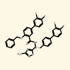 Cc1noc([C@@H](Cc2ccc(-c3ccc(F)c(F)c3)cc2)NC(=O)c2cc(-c3ccc(F)c(F)c3)ccc2OCc2ccccc2)n1